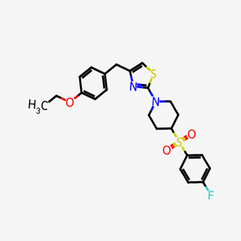 CCOc1ccc(Cc2csc(N3CCC(S(=O)(=O)c4ccc(F)cc4)CC3)n2)cc1